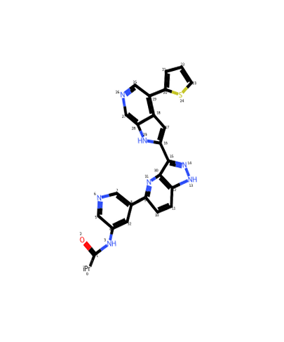 CC(C)C(=O)Nc1cncc(-c2ccc3[nH]nc(-c4cc5c(-c6cccs6)cncc5[nH]4)c3n2)c1